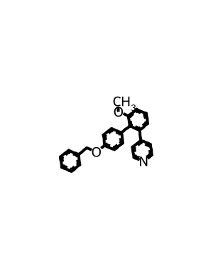 COc1cccc(-c2ccncc2)c1-c1ccc(OCc2ccccc2)cc1